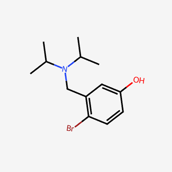 CC(C)N(Cc1cc(O)ccc1Br)C(C)C